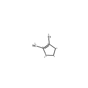 CCC1=C(C#N)SCC1